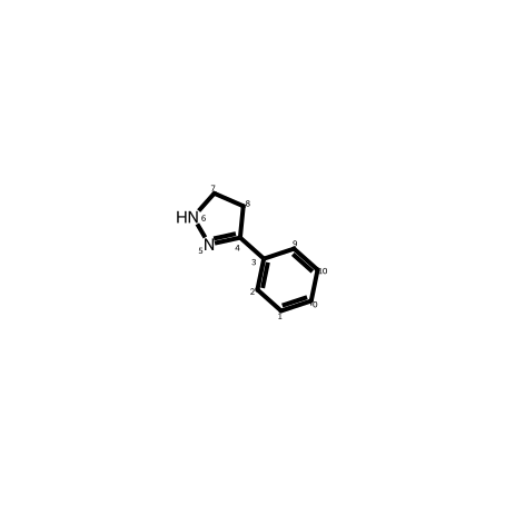 [c]1ccc(C2=NNCC2)cc1